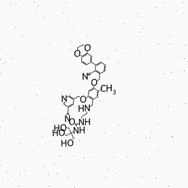 Cc1cc(CNCCNC(=O)NC(CO)(CO)CO)c(OCc2cncc(C#N)c2)cc1OCc1cccc(-c2ccc3c(c2)OCCO3)c1C#N